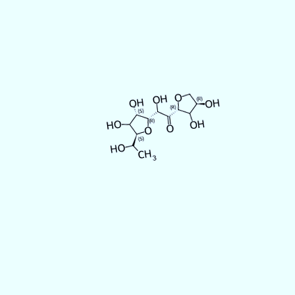 CC(O)[C@@H]1O[C@@H](C(O)C(=O)[C@@H]2OC[C@@H](O)C2O)[C@@H](O)C1O